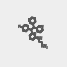 NCCNc1cccc(C(c2ccc(F)cc2)C(c2cccnc2)c2cccnc2)n1